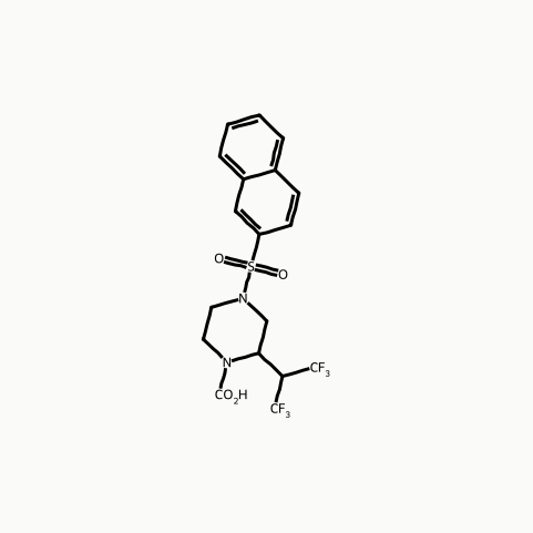 O=C(O)N1CCN(S(=O)(=O)c2ccc3ccccc3c2)CC1C(C(F)(F)F)C(F)(F)F